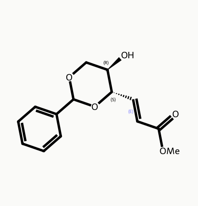 COC(=O)/C=C/[C@@H]1OC(c2ccccc2)OC[C@H]1O